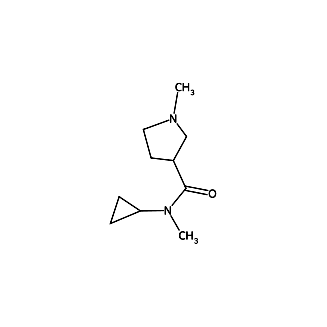 CN1CCC(C(=O)N(C)C2CC2)C1